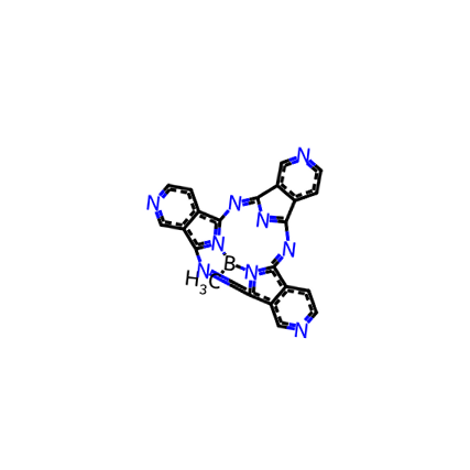 CB1n2c3c4cnccc4c2/N=C2N=C(/N=c4/c5ccncc5c(n41)=N3)c1ccncc1\2